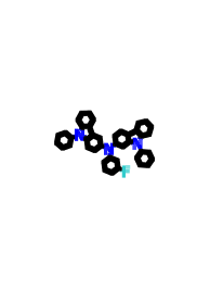 Fc1cccc(N(c2ccc3c(c2)c2ccccc2n3-c2ccccc2)c2ccc3c4ccccc4n(-c4ccccc4)c3c2)c1